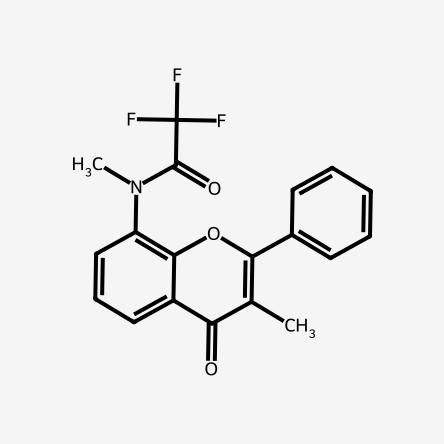 Cc1c(-c2ccccc2)oc2c(N(C)C(=O)C(F)(F)F)cccc2c1=O